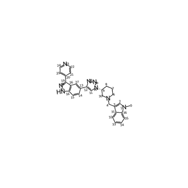 Cn1cc(CN2CCC[C@@H](n3cc(-c4ccc5[nH]nc(-c6ccncc6)c5c4)nn3)C2)c2ccccc21